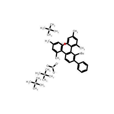 CCCCc1c(-c2ccccc2)ccc(-c2c(C)cc(C)cc2C)c1-c1c(C)cc(C)cc1C.C[N+](C)(C)C.C[N+](C)(C)C.C[N+](C)(C)C.[O-]B([O-])[O-]